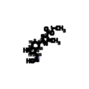 CCOC(=O)c1sc(-c2ccc3[nH]cc(/C=N\O)c3c2)nc1C